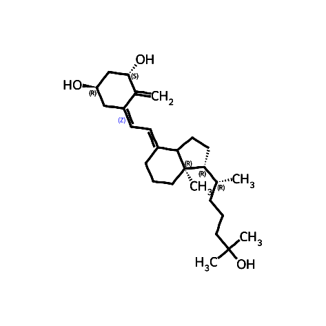 C=C1/C(=C\C=C2CCC[C@@]3(C)C2CC[C@@H]3[C@H](C)CCCC(C)(C)O)C[C@@H](O)C[C@@H]1O